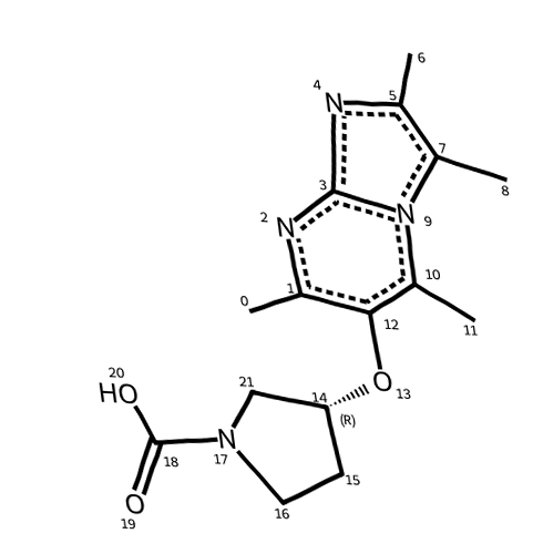 Cc1nc2nc(C)c(C)n2c(C)c1O[C@@H]1CCN(C(=O)O)C1